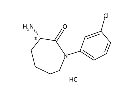 Cl.N[C@H]1CCCCN(c2cccc(Cl)c2)C1=O